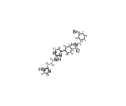 O=C(NCc1cccc(Br)c1)c1ccc(-c2ccnc(NCCCc3ncc[nH]3)n2)cc1